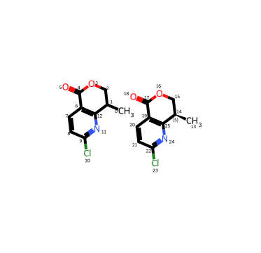 CC1COC(=O)c2ccc(Cl)nc21.C[C@@H]1COC(=O)c2ccc(Cl)nc21